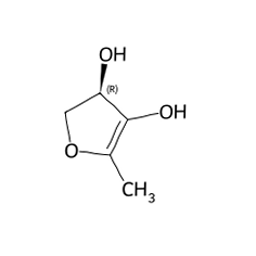 CC1=C(O)[C@H](O)CO1